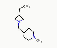 COCC1CN(CC2CCN(C)CC2)C1